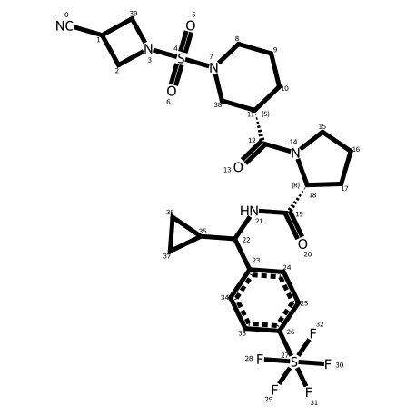 N#CC1CN(S(=O)(=O)N2CCC[C@H](C(=O)N3CCC[C@@H]3C(=O)NC(c3ccc(S(F)(F)(F)(F)F)cc3)C3CC3)C2)C1